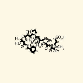 CC[C@H](C)[C@@H]([C@@H](CC(=O)N1CCC[C@H]1[C@H](OC)[C@@H](C)C(=O)N[C@H](C(=O)NCc1ccccc1)[C@@H](C)O)OC)N(C)[C@H](C(=O)NC(=O)[C@H](C(C)C)N(C)CCCC(=O)O)C(C)C